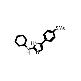 CSc1ccc(-c2cnc(NC3CCCCC3)[nH]2)cc1